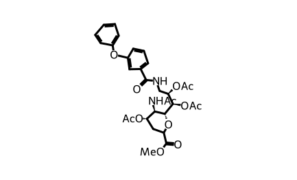 COC(=O)C1C[C@H](OC(C)=O)[C@@H](NC(C)=O)[C@H]([C@H](OC(C)=O)[C@@H](CNC(=O)c2cccc(Oc3ccccc3)c2)OC(C)=O)O1